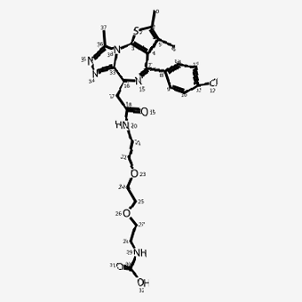 Cc1sc2c(c1C)C(c1ccc(Cl)cc1)=N[C@@H](CC(=O)NCCOCCOCCNC(=O)O)c1nnc(C)n1-2